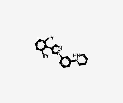 CC(C)c1cccc(C(C)C)c1-c1cnn(-c2cccc(B3C=CC=CN3)c2)c1